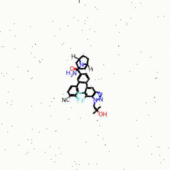 CC(C)(O)Cn1nnc2cc(-c3ccc(C(=O)N4[C@@H]5CC[C@H]4C[C@@H](N)C5)cc3-c3ccc(C#N)c(F)c3)c(F)c(F)c21